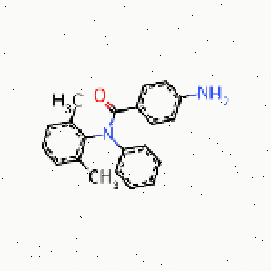 Cc1cccc(C)c1N(C(=O)c1ccc(N)cc1)c1ccccc1